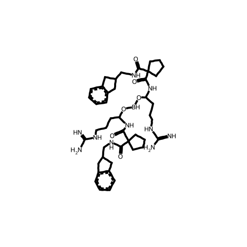 N=C(N)NCCCC(NC(=O)C1(C(=O)NCC2Cc3ccccc3C2)CCCC1)OBOC(CCCNC(=N)N)NC(=O)C1(C(=O)NCC2Cc3ccccc3C2)CCCC1